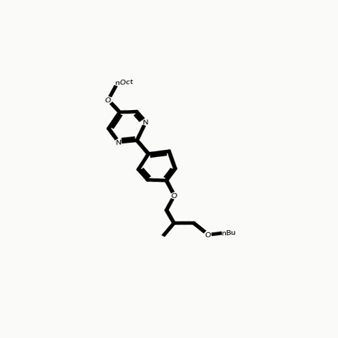 CCCCCCCCOc1cnc(-c2ccc(OCC(C)COCCCC)cc2)nc1